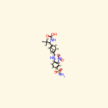 CC(C)(C)C(NC(=O)O)C12CCC(CNc3ccc(S(N)(=O)=O)cc3[N+](=O)[O-])(CC1)CC2